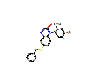 COc1cc(Br)c(F)cc1-n1c(=O)cnc2cc(SCc3ccccc3)ccc21